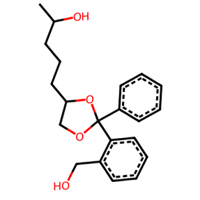 CC(O)CCCC1COC(c2ccccc2)(c2ccccc2CO)O1